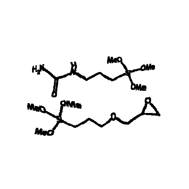 CO[Si](CCCNC(N)=O)(OC)OC.CO[Si](CCCOCC1CO1)(OC)OC